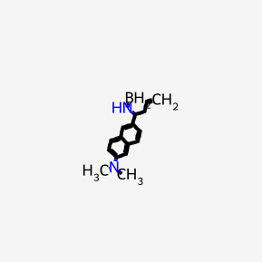 BNC(CC=C)c1ccc2cc(N(C)C)ccc2c1